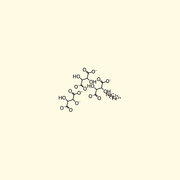 O=C([O-])C(O)C(O)C(=O)[O-].O=C([O-])C(O)C(O)C(=O)[O-].O=C([O-])C([O-])C(O)C(=O)[O-].[Fe+3].[Fe+3].[Na+]